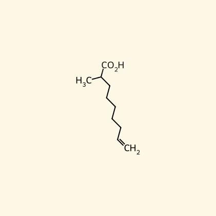 C=CCCCCCC(C)C(=O)O